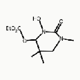 CCOC(=O)OC1N(O)C(=O)N(C)CC1(C)C